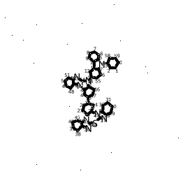 c1ccc(-n2c3ccccc3c3cc(-n4c5ccc(-c6ccc7c(c6)n6c(nc8ccccc86)sc6nc8ccccc8n67)cc5n5c6ccccc6nc45)ccc32)cc1